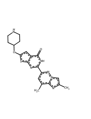 Cc1cn2nc(-c3nc4sc(OC5CCNCC5)cc4c(=O)[nH]3)cc(C)c2n1